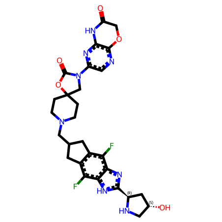 O=C1COc2ncc(N3CC4(CCN(CC5Cc6c(c(F)c7[nH]c([C@H]8C[C@H](O)CN8)nc7c6F)C5)CC4)OC3=O)nc2N1